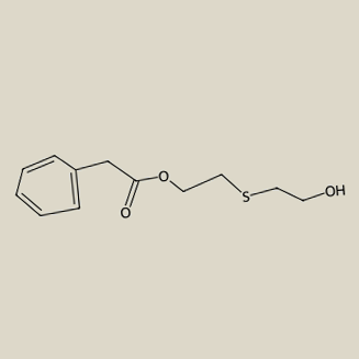 O=C(Cc1ccccc1)OCCSCCO